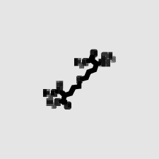 CNC(CCCSCCCC(NC)C(C)=O)C(C)=O